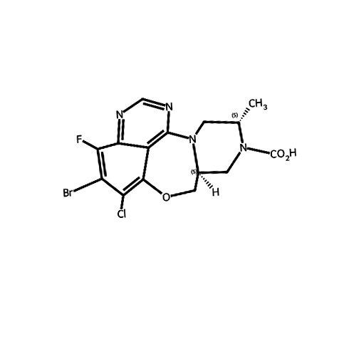 C[C@H]1CN2c3ncnc4c(F)c(Br)c(Cl)c(c34)OC[C@@H]2CN1C(=O)O